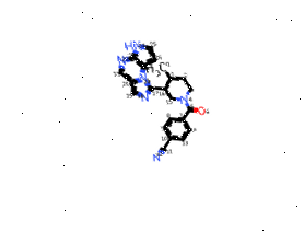 CC1CCN(C(=O)c2ccc(C#N)cc2)CC1c1ncc2cnc3[nH]ccc3n12